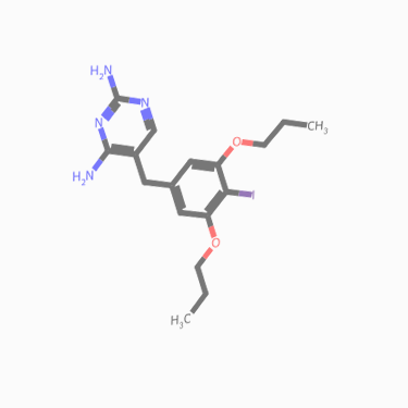 CCCOc1cc(Cc2cnc(N)nc2N)cc(OCCC)c1I